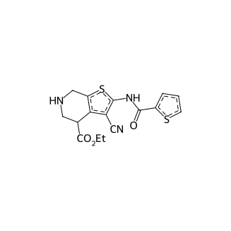 CCOC(=O)C1CNCc2sc(NC(=O)c3cccs3)c(C#N)c21